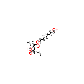 CC(=CC=C(C)C(=O)OCCCCCCCCCO)C(=O)O